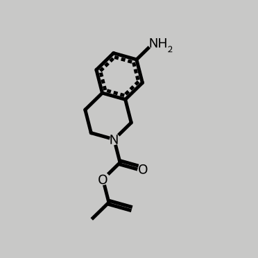 C=C(C)OC(=O)N1CCc2ccc(N)cc2C1